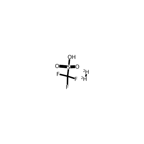 O=S(=O)(O)C(F)(F)F.[2H][2H]